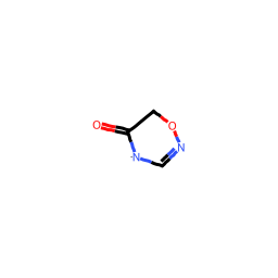 O=C1CON=C[N]1